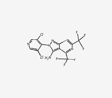 Nc1c2c(C(F)(F)F)nc(C(F)(F)F)cc2nn1-c1c(Cl)cncc1Cl